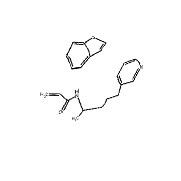 C=CC(=O)NC(C)CCCc1cccnc1.c1ccc2sccc2c1